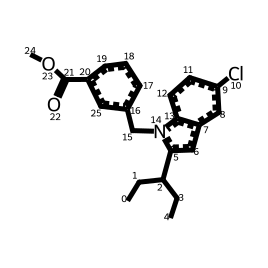 CCC(CC)c1cc2cc(Cl)ccc2n1Cc1cccc(C(=O)OC)c1